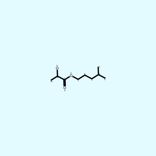 CC(C)CCCOC(=O)C(C)[O]